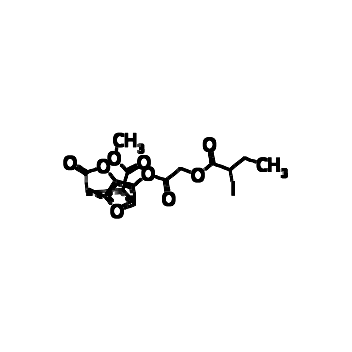 CCC(I)C(=O)OCC(=O)Oc1c2c3oc1c(C(=O)OC)c3C(=O)O2